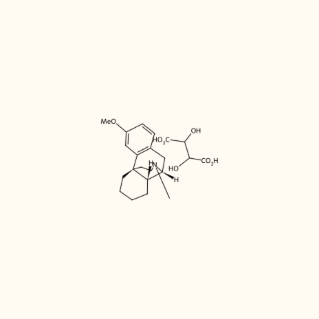 COc1ccc2c(c1)[C@@]13CCCC[C@H]1[C@@H](C2)N(C)CC3.O=C(O)C(O)C(O)C(=O)O